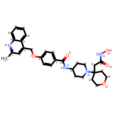 Cc1cc(COc2ccc(C(=O)NC3CCN(C4(CC(=O)NO)CCOCC4)CC3)cc2)c2ccccc2n1